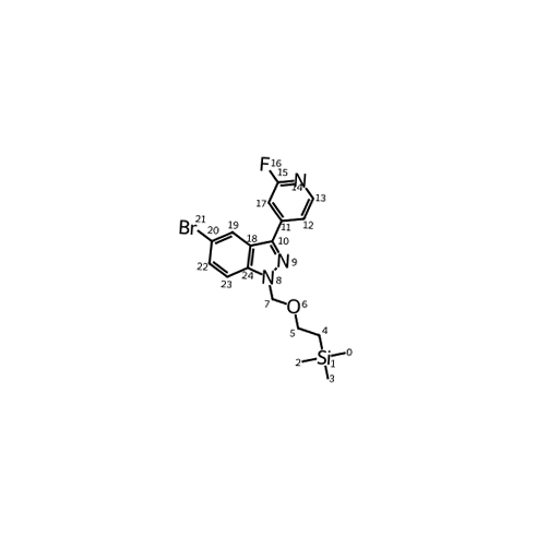 C[Si](C)(C)CCOCn1nc(-c2ccnc(F)c2)c2cc(Br)ccc21